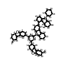 Fc1ccc2oc3ccc(-c4nc(-c5ccc6oc7ccc(F)cc7c6c5)nc(-n5c6ccccc6c6cc(-c7cccc8c7c7ccccc7n8-c7ccccc7)ccc65)n4)cc3c2c1